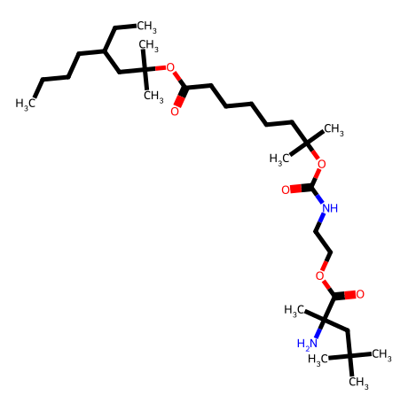 CCCCC(CC)CC(C)(C)OC(=O)CCCCCC(C)(C)OC(=O)NCCOC(=O)C(C)(N)CC(C)(C)C